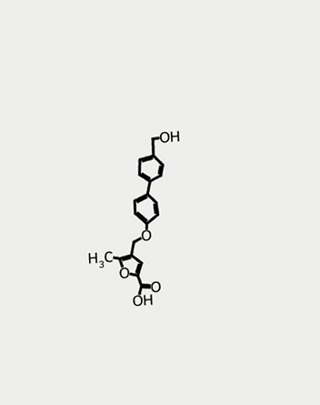 Cc1oc(C(=O)O)cc1COc1ccc(-c2ccc(CO)cc2)cc1